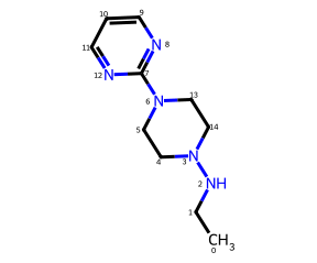 CCNN1CCN(c2ncccn2)CC1